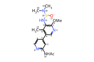 COc1ncc(-c2ccnc(NC(C)=O)c2)c(C)c1N[S+]([O-])N(C)C